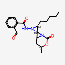 CCCCC[C@@H]1N(NC(=O)c2ccccc2C=O)[C@]12C1C[C@H](C)OC(=O)N12